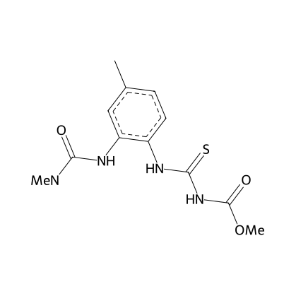 CNC(=O)Nc1cc(C)ccc1NC(=S)NC(=O)OC